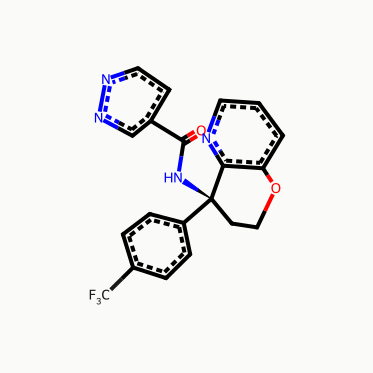 O=C(N[C@]1(c2ccc(C(F)(F)F)cc2)CCOc2cccnc21)c1ccnnc1